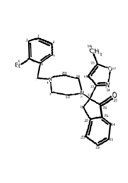 CCc1ccccc1CN1CCN(C2(c3cc(C)on3)Cc3ccccc3C2=O)CC1